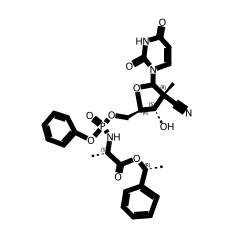 C[C@H](NP(=O)(OC[C@H]1OC(n2ccc(=O)[nH]c2=O)[C@](C)(C#N)[C@@H]1O)Oc1ccccc1)C(=O)O[C@H](C)c1ccccc1